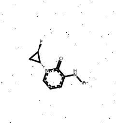 CC(C)Nc1cccn([C@@H]2C[C@H]2F)c1=O